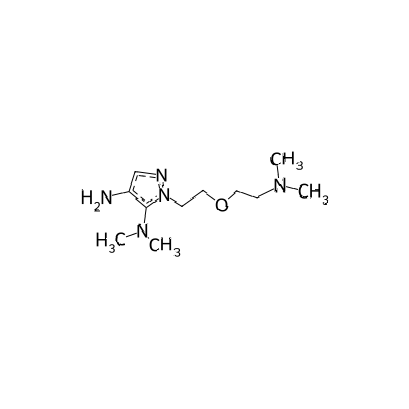 CN(C)CCOCCn1ncc(N)c1N(C)C